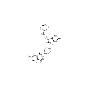 O=C(NC1CCC(CN2C(=O)C3(CN(C(=O)c4cnccn4)C3)c3ccc(F)cc32)CC1)c1cc(Cl)cnc1C(F)F